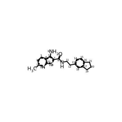 Cc1ccc2c(N)c(C(=O)NCCc3ccc4c(c3)CCC4)sc2n1